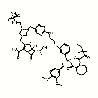 CCC(C)(C)C(=O)C(=O)N1CCCC[C@H]1C(=O)O[C@H](CCc1ccc(OC)c(OC)c1)c1cccc(OCCNc2ncc(CN3C[C@@H](SC4=C(C(=O)O)N5C(=O)[C@H]([C@@H](C)O)[C@H]5[C@H]4C)C[C@H]3CNS(N)(=O)=O)cn2)c1